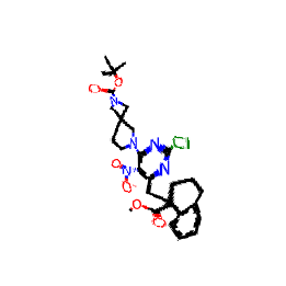 COC(=O)C1(Cc2nc(Cl)nc(N3CCC4(CN(C(=O)OC(C)(C)C)C4)C3)c2[N+](=O)[O-])CCCc2ccccc21